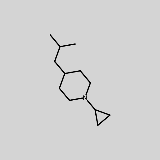 CC(C)CC1CCN(C2CC2)CC1